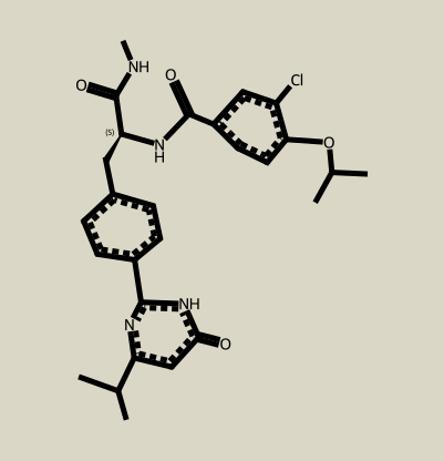 CNC(=O)[C@H](Cc1ccc(-c2nc(C(C)C)cc(=O)[nH]2)cc1)NC(=O)c1ccc(OC(C)C)c(Cl)c1